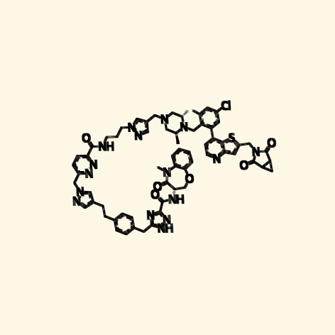 Cc1cc(Cl)cc(-c2ccnc3cc(CN4C(=O)C5CC5C4=O)sc23)c1CN1[C@@H](C)CN(Cc2cnn(CCCNC(=O)c3ccc(Cn4cc(CCc5ccc(Cc6nc(C(=O)N[C@H]7COc8ccccc8N(C)C7=O)n[nH]6)cc5)cn4)nn3)c2)C[C@@H]1C